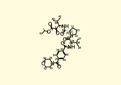 CCOC(=O)C(=O)C(NC(=O)[C@@H]1CCCN1C(=O)[C@@H](NC(=O)c1ccc(C(=O)N2CCOCC2)cc1)C(C)C)C(C)C